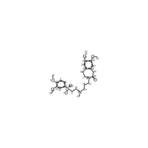 COc1ccc(S(=O)(=O)CCN(C)CCCN2CCc3cc(OC)c(OC)cc3CC2=O)cc1OC